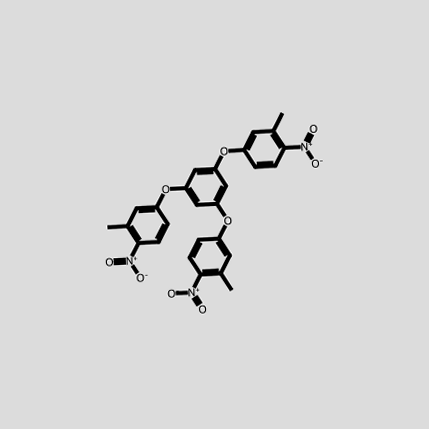 Cc1cc(Oc2cc(Oc3ccc([N+](=O)[O-])c(C)c3)cc(Oc3ccc([N+](=O)[O-])c(C)c3)c2)ccc1[N+](=O)[O-]